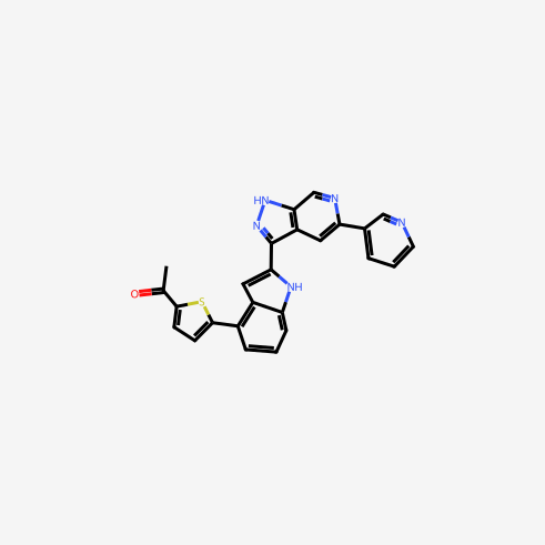 CC(=O)c1ccc(-c2cccc3[nH]c(-c4n[nH]c5cnc(-c6cccnc6)cc45)cc23)s1